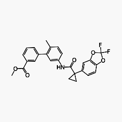 COC(=O)c1cccc(-c2cc(NC(=O)C3(c4ccc5c(c4)OC(F)(F)O5)CC3)ccc2C)c1